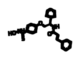 O=C(/C=C/c1ccccc1)N[C@@H](COc1ccc(C(=S)NO)cc1)c1ccccc1